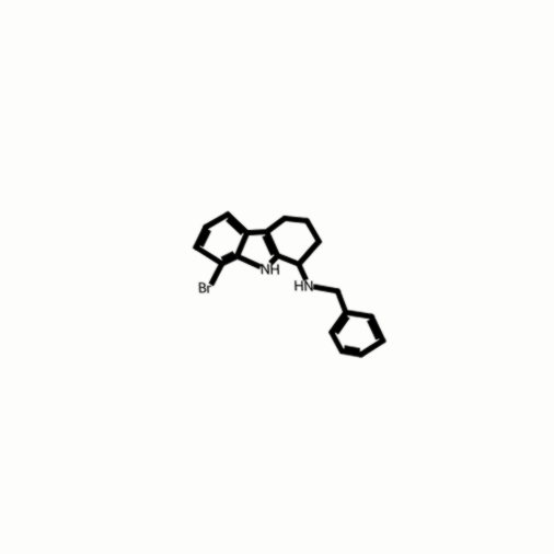 Brc1cccc2c3c([nH]c12)C(NCc1ccccc1)CCC3